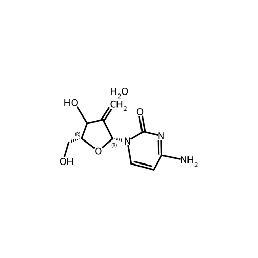 C=C1C(O)[C@@H](CO)O[C@H]1n1ccc(N)nc1=O.O